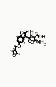 Cc1oc2ccc(OCC3COC3)cc2c1C(=O)N[C@@H](CO)C(N)=O